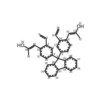 C=Cc1cc(C2(c3ccc(/C=C(\C)O)c(C=C)c3)c3ccccc3-c3ccccc32)ccc1/C=C(\C)O